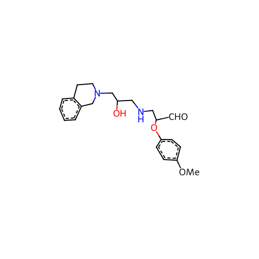 COc1ccc(OC(C=O)CNCC(O)CN2CCc3ccccc3C2)cc1